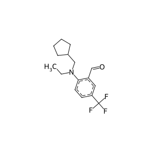 CCN(CC1CCCC1)c1ccc(C(F)(F)F)cc1C=O